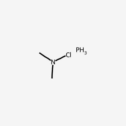 CN(C)Cl.P